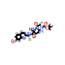 C[C@H](NC(=O)OC(C)(C)C)C(=O)N1CCCC(C)(C(=O)N[C@H](C)c2ccc3ccc(Br)cc3n2)N1